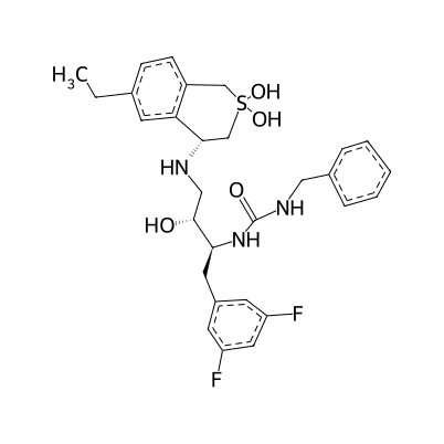 CCc1ccc2c(c1)[C@@H](NC[C@@H](O)[C@H](Cc1cc(F)cc(F)c1)NC(=O)NCc1ccccc1)CS(O)(O)C2